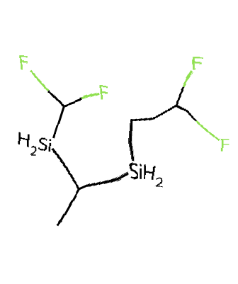 CC([SiH2]CC(F)F)[SiH2]C(F)F